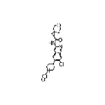 O=C(Nc1cc2cc(C3CCN(C4COC4)CC3)c(Cl)cc2cn1)C1CC12CCOCC2